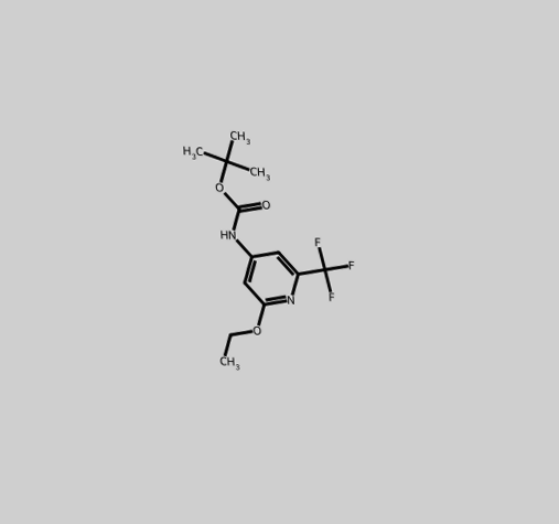 CCOc1cc(NC(=O)OC(C)(C)C)cc(C(F)(F)F)n1